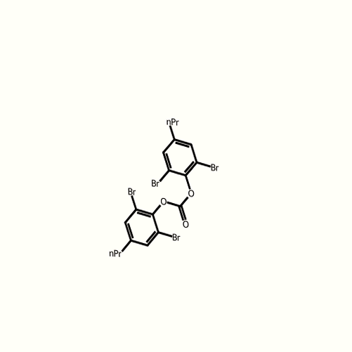 CCCc1cc(Br)c(OC(=O)Oc2c(Br)cc(CCC)cc2Br)c(Br)c1